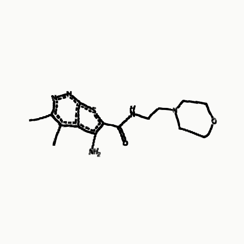 Cc1nnc2sc(C(=O)NCCN3CCOCC3)c(N)c2c1C